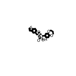 O=CN(O)[C@H](CS(=O)(=O)Cc1ccc2sccc2c1)c1ccc2c(c1)OCCCO2